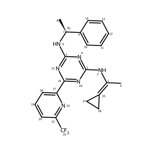 CC(Nc1nc(N[C@@H](C)c2ccccc2)nc(-c2cccc(C(F)(F)F)n2)n1)=C1CC1